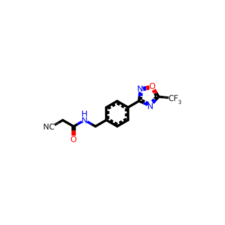 N#CCC(=O)NCc1ccc(-c2noc(C(F)(F)F)n2)cc1